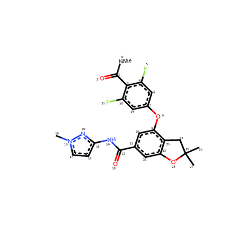 CNC(=O)c1c(F)cc(Oc2cc(C(=O)Nc3ccn(C)n3)cc3c2CC(C)(C)O3)cc1F